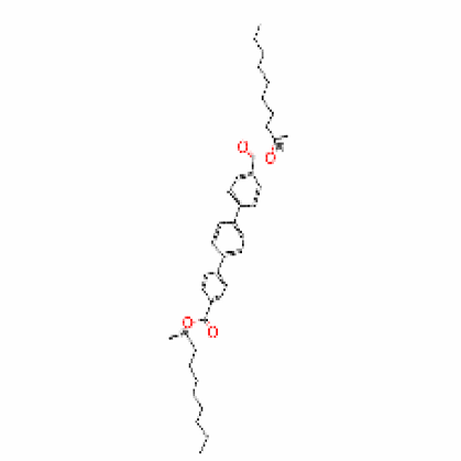 CCCCCCCC[C@@H](C)OC(=O)c1ccc(-c2ccc(-c3ccc(C(=O)O[C@H](C)CCCCCCCC)cc3)cc2)cc1